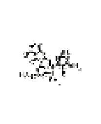 COc1cc(OC)cc(-n2c(CCNc3nc(N)nc(N)c3C#N)nc3cccc(Cl)c3c2=O)c1